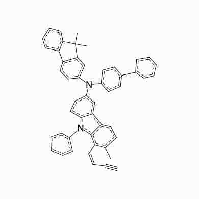 C#C/C=C\c1c(C)ccc2c3cc(N(c4ccc(-c5ccccc5)cc4)c4ccc5c(c4)C(C)(C)c4ccccc4-5)ccc3n(-c3ccccc3)c12